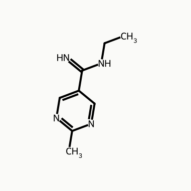 CCNC(=N)c1cnc(C)nc1